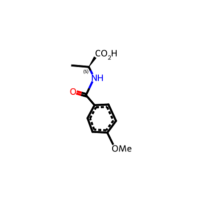 COc1ccc(C(=O)N[C@@H](C)C(=O)O)cc1